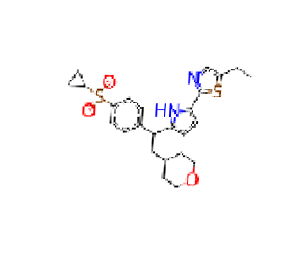 CCc1cnc(-c2ccc(C(CC3CCOCC3)c3ccc(S(=O)(=O)C4CC4)cc3)[nH]2)s1